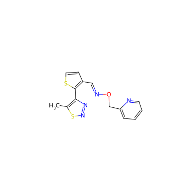 Cc1snnc1-c1sccc1C=NOCc1ccccn1